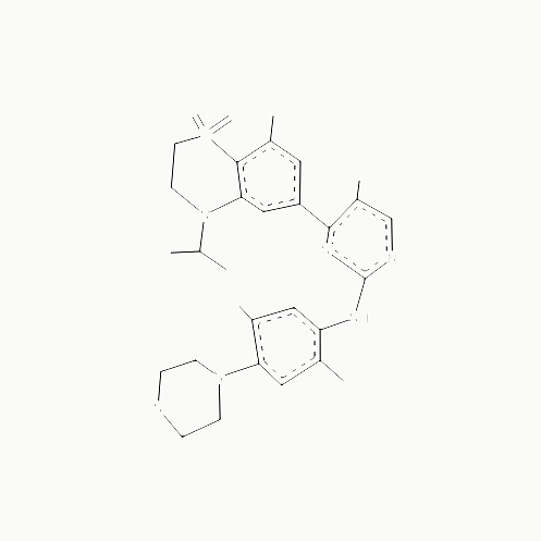 CC(C)N1CCS(=O)(=O)c2c(F)cc(-c3nc(Nc4cc(F)c(N5CCNCC5)cc4F)ncc3F)cc21